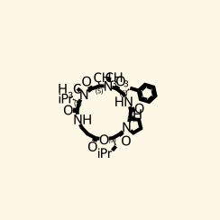 CC(C)C[C@@H]1OC(=O)CCNC(=O)[C@H](C(C)C)N(C)C(=O)[C@H](C)N(C)C(=O)[C@H](Cc2ccccc2)NC(=O)[C@@H]2CCCN2C1=O